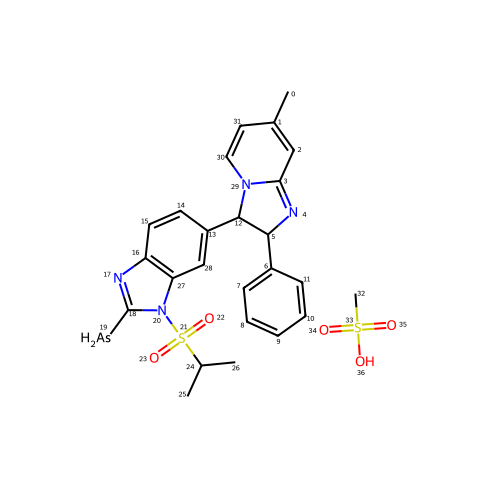 CC1=CC2=NC(c3ccccc3)C(c3ccc4nc([AsH2])n(S(=O)(=O)C(C)C)c4c3)N2C=C1.CS(=O)(=O)O